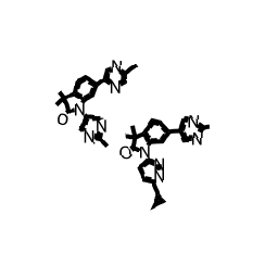 Cc1cnc(-c2ccc3c(c2)N(c2cnc(C)nc2)C(=O)C3(C)C)cn1.Cc1ncc(-c2ccc3c(c2)N(c2ccc(C4CC4)nn2)C(=O)C3(C)C)cn1